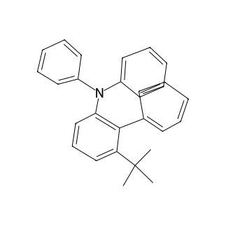 CC(C)(C)c1cccc(N(c2ccccc2)c2ccccc2)c1-c1ccccc1